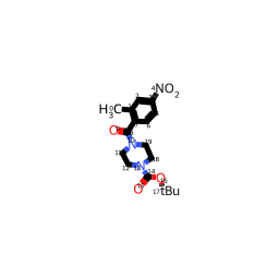 Cc1cc([N+](=O)[O-])ccc1C(=O)N1CCN(C(=O)OC(C)(C)C)CC1